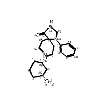 C[C@@H]1CCC[C@H](N2CCC3(CC2)C(=O)NCN3c2ccccc2)C1